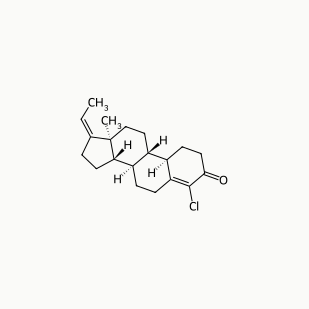 C/C=C1/CC[C@H]2[C@@H]3CCC4=C(Cl)C(=O)CC[C@@H]4[C@H]3CC[C@]12C